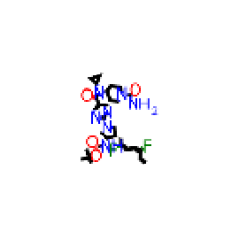 C=C/C(F)=C\C=C(\F)C[C@H]1CN(c2ncc(C(=O)N(C3CC3)C3CCN(C(N)=O)CC3)cn2)C[C@@H]1NC(=O)OC(C)(C)C